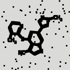 Cc1cccnc1Sc1cc(-c2cnn(C)c2)cn2ncc(C#N)c12